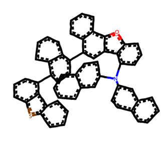 c1ccc2cc(N(c3ccc4ccccc4c3)c3cccc4oc5c6ccccc6c(-c6ccc(-c7cccc8sc9ccccc9c78)c7ccccc67)cc5c34)ccc2c1